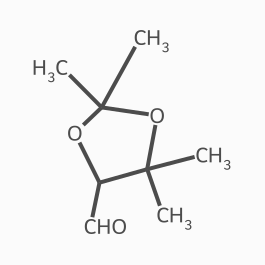 CC1(C)OC(C=O)C(C)(C)O1